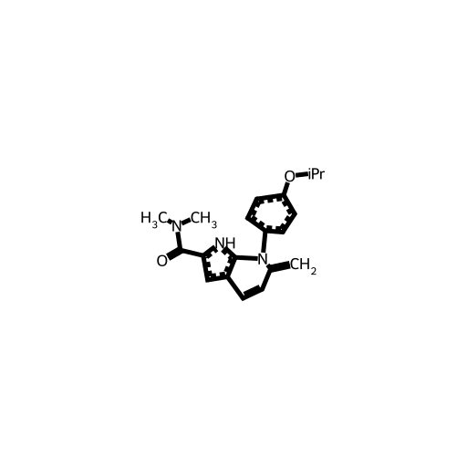 C=C1C=Cc2cc(C(=O)N(C)C)[nH]c2N1c1ccc(OC(C)C)cc1